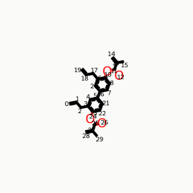 C=CCc1cc(-c2ccc(OC(=O)C(=C)C)c(CC=C)c2)ccc1OC(=O)C(=C)C